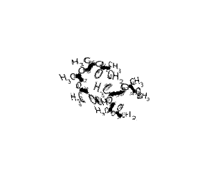 C=C(C)C(=O)OC(C)COC(C)COC(C)COC.C=CC(=O)OC(C)COC(C)COC(C)COC